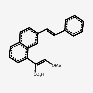 COC=C(C(=O)O)c1cccc2ccc(C=Cc3ccccc3)cc12